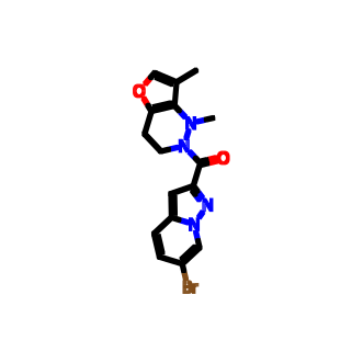 Cc1coc2c1N(C)N(C(=O)c1cc3ccc(Br)cn3n1)CC2